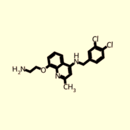 Cc1cc(NCc2ccc(Cl)c(Cl)c2)c2cccc(OCCN)c2n1